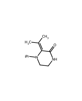 CC(C)=C1C(=O)NCCN1C(C)C